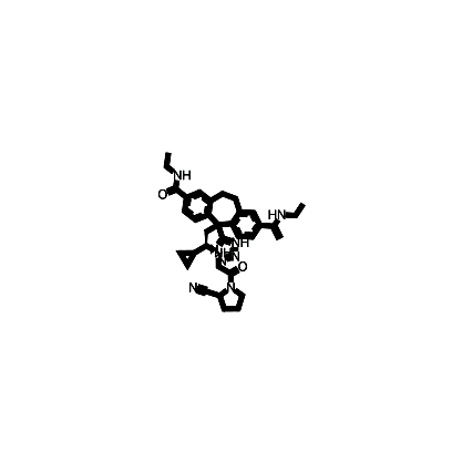 C=C(NCC)c1ccc2c(c1)CCc1cc(C(=O)NCC)ccc1C2(C[C@@H](NCC(=O)N1CCCC1C#N)C1CC1)c1nnn[nH]1